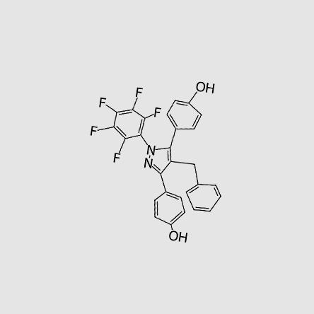 Oc1ccc(-c2nn(-c3c(F)c(F)c(F)c(F)c3F)c(-c3ccc(O)cc3)c2Cc2ccccc2)cc1